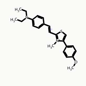 CCN(CC)c1ccc(/C=C/c2scc(-c3ccc(OC)cc3)[n+]2C)cc1